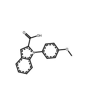 COc1ccc(-n2c(C(=O)O)cc3cc[c]cc32)cc1